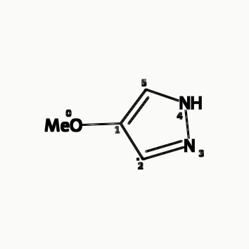 COc1[c]n[nH]c1